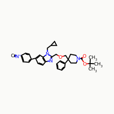 [C-]#[N+]c1ccc(-c2ccc3nc(COCC4(c5ccccc5)CCN(C(=O)OC(C)(C)C)CC4)n(CC4CC4)c3c2)cc1